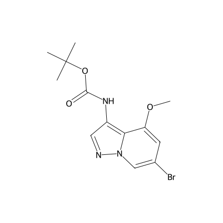 COc1cc(Br)cn2ncc(NC(=O)OC(C)(C)C)c12